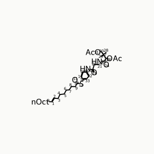 CCCCCCCCC=CCCCCCCCC(=O)Sc1ccc(NC(=O)CCNC(=O)C(OC(C)=O)C(C)(C)COC(C)=O)cc1